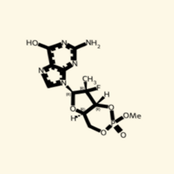 COP1(=O)OC[C@H]2O[C@@H](n3cnc4c(O)nc(N)nc43)[C@](C)(F)[C@@H]2O1